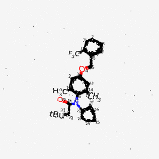 Cc1cc(OCc2ccccc2C(F)(F)F)cc(C)c1N(C(=O)CC(C)(C)C)c1ccccc1